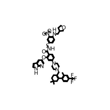 Cc1cc(C(F)(F)F)ccc1C1=C(CN2CCN(c3ccc(C(=O)NSc4ccc(NCC5CCOC5)c([N+](=O)[O-])c4)c(Oc4cnc5[nH]ccc5c4)c3)CC2)CCC(C)(C)C1